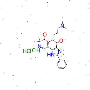 CN(C)CCCC1C(=O)c2nc(-c3ccccc3)[nH]c2C2=C1C(=O)C(C)(C)N=C2.Cl.Cl